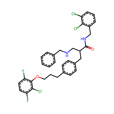 O=C(NCc1cccc(Cl)c1Cl)C(CNCc1ccccc1)Cc1ccc(CCCOc2c(F)ccc(F)c2Cl)cc1